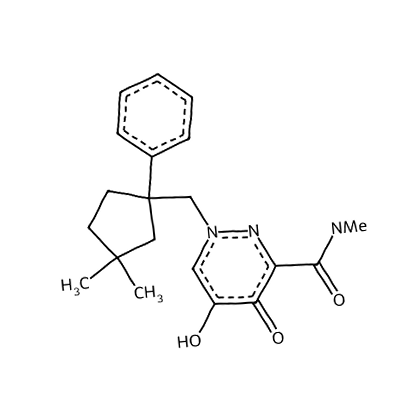 CNC(=O)c1nn(CC2(c3ccccc3)CCC(C)(C)C2)cc(O)c1=O